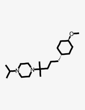 CO[C@H]1CC[C@H](CCCC(C)(C)N2CCN(C(C)C)CC2)CC1